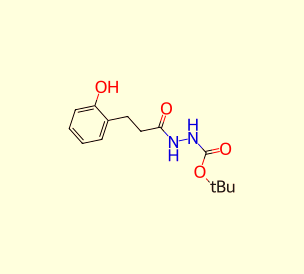 CC(C)(C)OC(=O)NNC(=O)CCc1ccccc1O